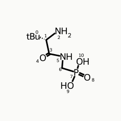 CC(C)(C)[C@H](N)C(=O)NCP(=O)(O)O